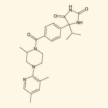 Cc1cnc(N2CCN(C(=O)c3ccc(C4(C(C)C)NC(=O)NC4=O)cc3)C(C)C2)c(C)c1